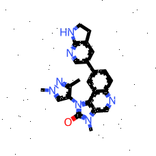 Cc1nn(C)cc1-n1c(=O)n(C)c2cnc3ccc(-c4cnc5c(c4)CCN5)cc3c21